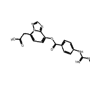 CNC(=N)Nc1ccc(C(=O)Oc2ccc(CC(=O)O)n3ncnc23)cc1